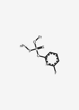 CCCSP(=S)(OCC)Oc1cccc(F)n1